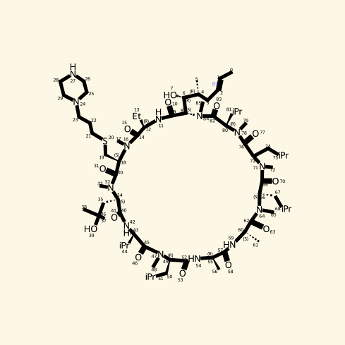 C/C=C/C[C@@H](C)[C@@H](O)[C@H]1C(=O)N[C@H](CC)C(=O)N(C)[C@H](CSCCCN2CCNCC2)C(=O)N(C)[C@@H](CC(C)(C)O)C(=O)N[C@H](C(C)C)C(=O)N(C)[C@H](CC(C)C)C(=O)N[C@H](C)C(=O)N[C@@H](C)C(=O)N(C)[C@@H](CC(C)C)C(=O)N(C)C(CC(C)C)C(=O)N(C)[C@H](C(C)C)C(=O)N1C